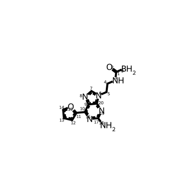 BC(=O)NCCn1cnc2c(-c3ccco3)nc(N)nc21